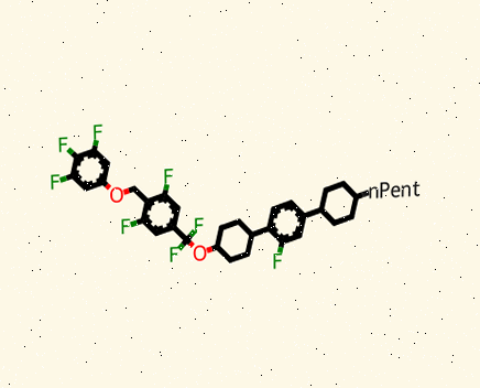 CCCCCC1CCC(c2ccc(C3CCC(OC(F)(F)c4cc(F)c(COc5cc(F)c(F)c(F)c5)c(F)c4)CC3)c(F)c2)CC1